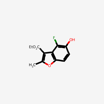 CCOC(=O)c1c(C)oc2ccc(O)c(F)c12